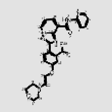 O=C(Nc1ccccn1)c1cccn2nc(-c3ccc(OCCN4CCOCC4)cc3C(F)F)nc12